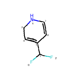 FC(F)C1=CCNC=C1